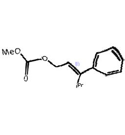 COC(=O)OC/C=C(/c1ccccc1)C(C)C